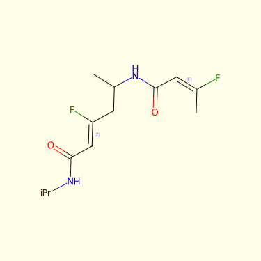 C/C(F)=C\C(=O)NC(C)C/C(F)=C/C(=O)NC(C)C